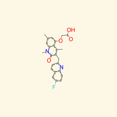 Cc1cc(OCC(=O)O)c2c(C)c(Cc3ccc4cc(F)ccc4n3)c(=O)n(C)c2c1